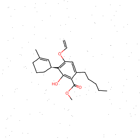 C=COc1cc(CCCCC)c(C(=O)OC)c(O)c1[C@@H]1C=C(C)CCC1